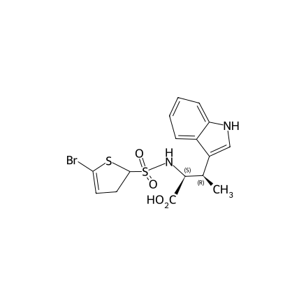 C[C@H](c1c[nH]c2ccccc12)[C@H](NS(=O)(=O)C1CC=C(Br)S1)C(=O)O